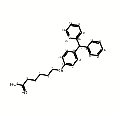 O=C(O)CCCCCOc1ccc(C(c2ccccc2)c2ccccn2)cc1